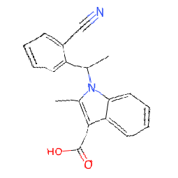 Cc1c(C(=O)O)c2ccccc2n1C(C)c1ccccc1C#N